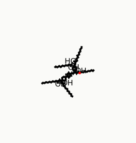 CCCCCCCCCCC(O)CN(CCN1CCN(C2CCC(N(CC(O)CCCCCCCCCC)CC(O)CCCCCCCCCC)CC2)CC1)C1CCC(N(CC(O)CCCCCCCCCC)CC(O)CCCCCCCCCC)CC1